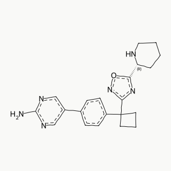 Nc1ncc(-c2ccc(C3(c4noc([C@H]5CCCCN5)n4)CCC3)cc2)cn1